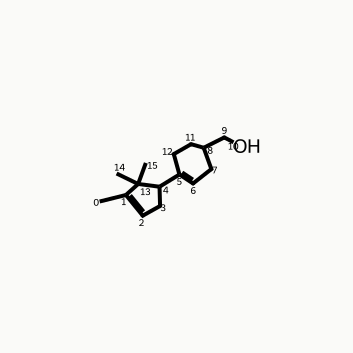 CC1=CCC(C2=CCC(CO)CC2)C1(C)C